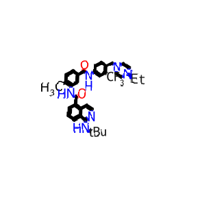 CCN1CCN(Cc2ccc(NC(=O)c3ccc(C)c(NC(=O)c4cccc5c(NC(C)(C)C)nccc45)c3)cc2C(F)(F)F)CC1